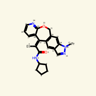 CCC(C(=O)NC1CCCC1)=C1c2cc3cnn(C(C)C)c3cc2COc2ncccc21